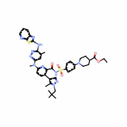 CCOC(=O)C1CCN(c2ccc(S(=O)(=O)NC(=O)c3nc(N(C)c4cc(C)c(Nc5nc6cccnc6s5)nn4)ccc3-c3cnn(CC(C)(C)C)c3C)cc2)CC1